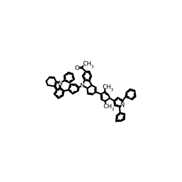 CC(=O)c1ccc2c(c1)N(c1ccc(-c3cccc4c5c(n(-c6ccccc6)c34)C=CCC5)cc1)C1C=CC(C3=CC(C)C(c4cc(-c5ccccc5)nc(-c5ccccc5)c4)C=C3C)=CC21